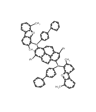 Cc1ccc2c(oc3c(C)cccc32)c1N(c1ccc(-c2ccccc2)cc1)c1cc(C(C)C)c2ccc3c(N(c4ccc(-c5ccccc5)cc4)c4c(C)ccc5c4oc4c(C)cccc45)cc(C(C)C)c4ccc1c2c43